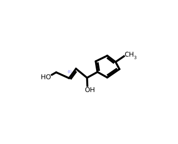 Cc1ccc(C(O)/C=C/CO)cc1